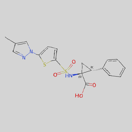 Cc1cnn(-c2ccc(S(=O)(=O)N[C@@]3(C(=O)O)C[C@@H]3c3ccccc3)s2)c1